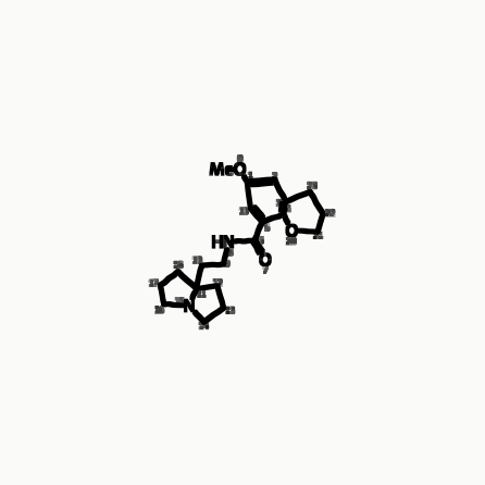 COc1cc2c(c(C(=O)NCCC34CCCN3CCC4)c1)OCCC2